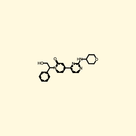 O=c1cc(-c2ccnc(NC3CCOCC3)n2)ccn1C(CO)c1ccccc1